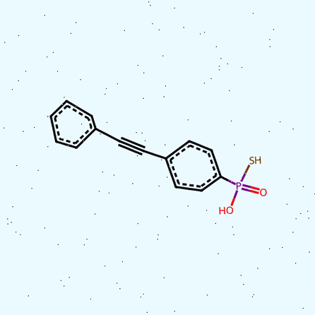 O=P(O)(S)c1ccc(C#Cc2cc[c]cc2)cc1